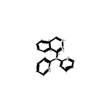 c1ccc(N(c2ccccn2)c2nncc3ccccc23)nc1